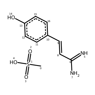 CS(=O)(=O)O.N=C(N)/C=C/c1ccc(O)cc1